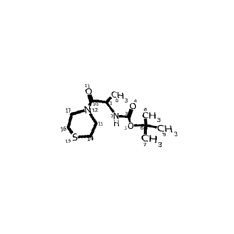 CC(NC(=O)OC(C)(C)C)C(=O)N1CCSCC1